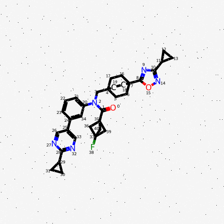 O=C(N(CC12CCC(c3nc(C4CC4)no3)(CC1)CC2)c1cccc(-c2cnc(C3CC3)nc2)c1)C12CC(F)(C1)C2